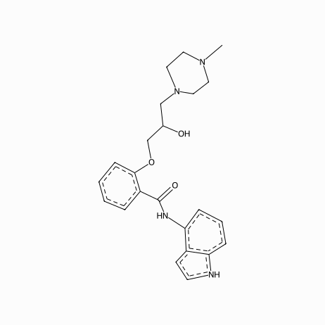 CN1CCN(CC(O)COc2ccccc2C(=O)Nc2cccc3[nH]ccc23)CC1